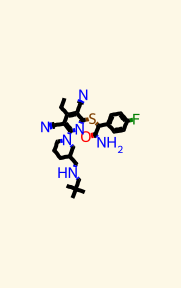 CCc1c(C#N)c(SC(C(N)=O)c2ccc(F)cc2)nc(N2CCCC(CNCC(C)(C)C)C2)c1C#N